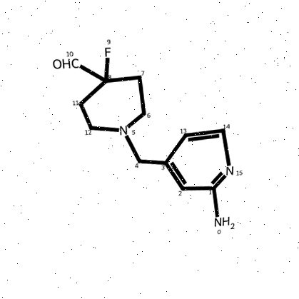 Nc1cc(CN2CCC(F)(C=O)CC2)ccn1